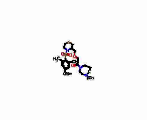 CCCCN1CCCN(C(=O)COCC2CSCCN2S(=O)(=O)c2c(C)cc(OC)cc2C)CC1